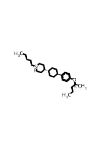 CCCCC[SiH]1CCC([C@H]2CC[C@H](c3ccc(O[C@@H](C)CCC)cc3)CC2)CC1